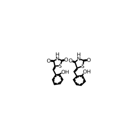 O=C1NC(=O)C(=Cc2ccccc2O)S1.O=C1NC(=O)C(=Cc2ccccc2O)S1